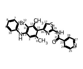 Cc1cc(Nc2ccccc2)c(Br)c(C)c1-c1csc(NC(=O)c2ccncc2)n1